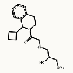 COCC(O)CNCC(=O)N1CCc2ccccc2C1C1CCC1